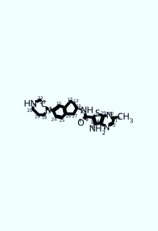 Cc1cnc2c(N)c(C(=O)N[C@@H]3CCc4cc(N5CCCNCC5)ccc4C3)sc2n1